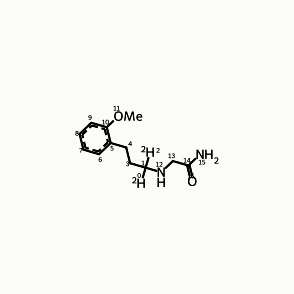 [2H]C([2H])(CCc1ccccc1OC)NCC(N)=O